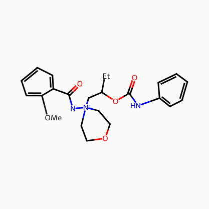 CCC(C[N+]1([N-]C(=O)c2ccccc2OC)CCOCC1)OC(=O)Nc1ccccc1